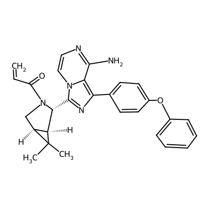 C=CC(=O)N1C[C@H]2[C@@H]([C@H]1c1nc(-c3ccc(Oc4ccccc4)cc3)c3c(N)nccn13)C2(C)C